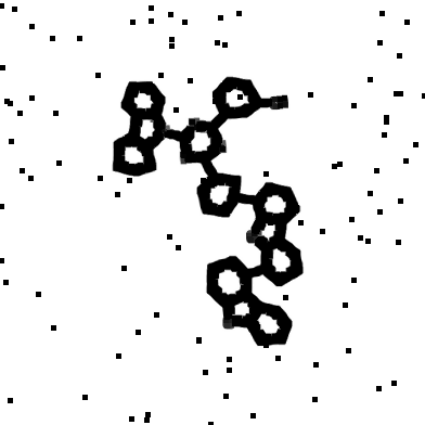 N#Cc1cccc(-c2nc(-c3cccc(-c4cccc5c4oc4c(-c6cccc7oc8ccccc8c67)cccc45)c3)nc(-n3c4ccccc4c4ccccc43)n2)c1